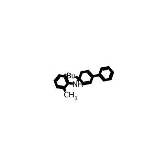 Cc1ccccc1NC1(C(C)(C)C)C=CC(c2ccccc2)=CC1